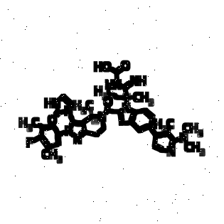 CC[C@](C)(C(=N)NC(=O)O)n1c(C(=O)N2CCc3nn(-c4cc(C)c(F)c(C)c4)c(-n4cc[nH]c4=O)c3[C@@H]2C)cc2cc(-c3ccnc(N(C)C)c3C)ccc21